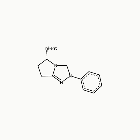 CCCCC[C@H]1CCC2=NN(c3ccccc3)CN21